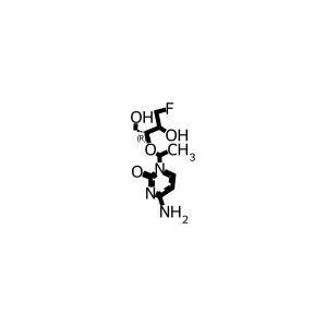 CC(O[C@H](CO)C(O)CF)n1ccc(N)nc1=O